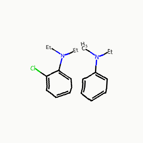 CCN(C)c1ccccc1.CCN(CC)c1ccccc1Cl